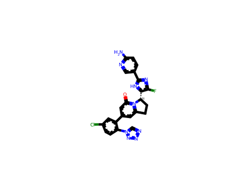 Nc1ccc(-c2nc(F)c([C@@H]3CCc4cc(-c5cc(Cl)ccc5-n5cnnn5)cc(=O)n43)[nH]2)cn1